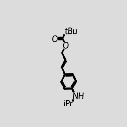 CC(C)Nc1ccc(/C=C/COC(=O)C(C)(C)C)cc1